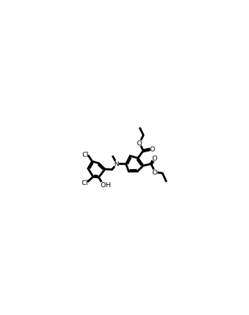 CCOC(=O)c1ccc(N(C)Cc2cc(Cl)cc(Cl)c2O)cc1C(=O)OCC